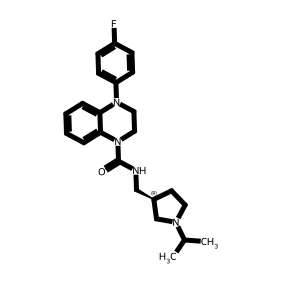 CC(C)N1CC[C@H](CNC(=O)N2CCN(c3ccc(F)cc3)c3ccccc32)C1